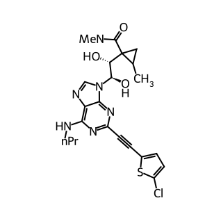 CCCNc1nc(C#Cc2ccc(Cl)s2)nc2c1ncn2[C@H](O)[C@H](O)C1(C(=O)NC)CC1C